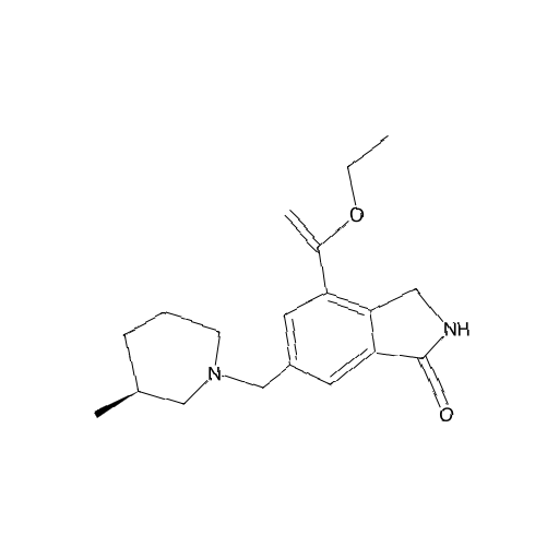 C=C(OCC)c1cc(CN2CCC[C@H](C)C2)cc2c1CNC2=O